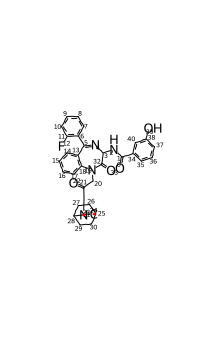 O=C(NC1N=C(c2ccccc2F)c2ccccc2N(CC(=O)N2CC3CCC(CC3)C2)C1=O)c1cccc(O)c1